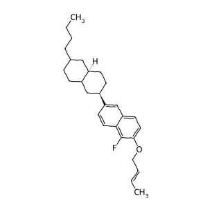 C/C=C/COc1ccc2cc([C@@H]3CC[C@@H]4CC(CCCC)CCC4C3)ccc2c1F